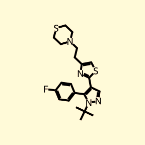 CC(C)(C)n1ncc(-c2nc(CCN3CCSCC3)cs2)c1-c1ccc(F)cc1